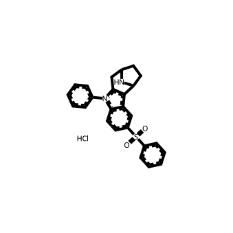 Cl.O=S(=O)(c1ccccc1)c1ccc2c(c1)c1c(n2-c2ccccc2)CC2CCC1N2